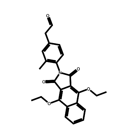 CCOc1c2c(c(OCC)c3ccccc13)C(=O)N(c1ccc(CC=O)cc1C)C2=O